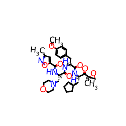 COc1ccc(C[C@H](NC(=O)[C@H](CN2CCOCC2)NC(=O)c2cc(C)no2)C(=O)N[C@@H](CC2CCCC2)C(=O)[C@@]2(C)CO2)cc1